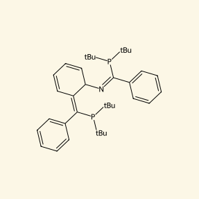 CC(C)(C)P(C(=NC1C=CC=CC1=C(c1ccccc1)P(C(C)(C)C)C(C)(C)C)c1ccccc1)C(C)(C)C